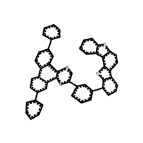 c1ccc(-c2ccc3c4ccc(-c5ccccc5)cc4c4nc(-c5cccc(-c6cccc7c6oc6c7ccc7oc8ccccc8c76)c5)cnc4c3c2)cc1